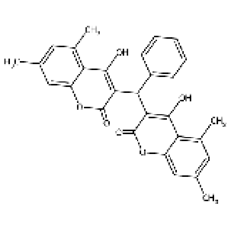 Cc1cc(C)c2c(O)c(C(c3ccccc3)c3c(O)c4c(C)cc(C)cc4oc3=O)c(=O)oc2c1